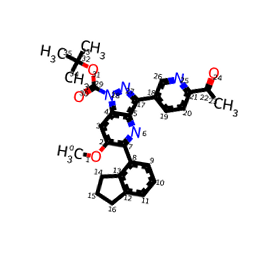 COc1cc2c(nc1-c1cccc3c1CCC3)c(-c1ccc(C(C)=O)nc1)nn2C(=O)OC(C)(C)C